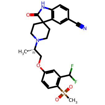 C[C@@H](COc1ccc(S(C)(=O)=O)c(C(F)F)c1)N1CCC2(CC1)C(=O)Nc1ccc(C#N)cc12